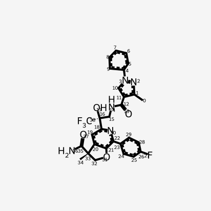 Cc1nn(-c2ccccc2)cc1C(=O)NC[C@](O)(c1cc2c(c(-c3ccc(F)cc3)n1)OC[C@]2(C)C(N)=O)C(F)(F)F